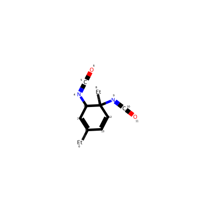 CCC1=CC(N=C=O)C(CC)(N=C=O)C=C1